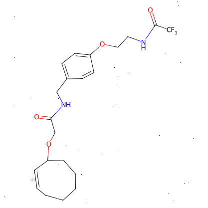 O=C(COC1/C=C\CCCCC1)NCc1ccc(OCCNC(=O)C(F)(F)F)cc1